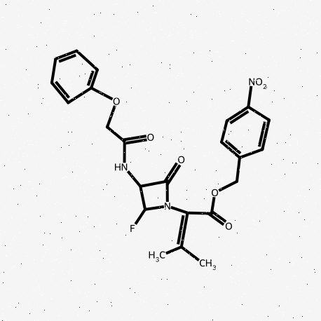 CC(C)=C(C(=O)OCc1ccc([N+](=O)[O-])cc1)N1C(=O)C(NC(=O)COc2ccccc2)C1F